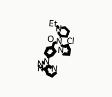 CCN1CCC[C@@H](N(C(=O)c2ccc(-n3nnc4cccnc43)cc2)c2ncccc2Cl)C1